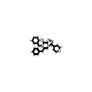 O=c1c2nnc(C3CCOCC3)n2cc(Cc2ccccc2)n1CC1CCCCC1